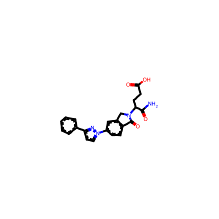 NC(=O)C(CCC(=O)O)N1Cc2cc(-n3ccc(-c4ccccc4)n3)ccc2C1=O